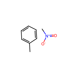 C[N+](=O)[O-].Cc1ccccc1